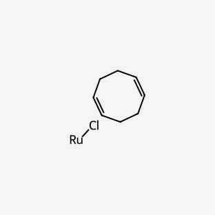 C1=CCCC=CCC1.[Cl][Ru]